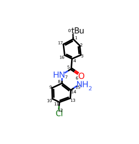 CC(C)(C)c1ccc(C(=O)Nc2ccc(Cl)cc2N)cc1